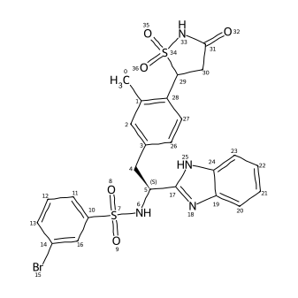 Cc1cc(C[C@H](NS(=O)(=O)c2cccc(Br)c2)c2nc3ccccc3[nH]2)ccc1C1CC(=O)NS1(=O)=O